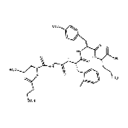 COc1ccc(C[C@H](NC(=O)[C@H](Cc2ccccc2F)NC(=O)CNC(=O)[C@H](CCC(=O)O)NC(=O)CCC(=O)O)C(=O)N[C@@H](CCC(=O)O)C(N)=O)cc1